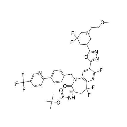 COCCN1CC(c2nnc(-c3cc4c(cc3F)C(F)(F)C[C@H](NC(=O)OC(C)(C)C)C(=O)N4Cc3ccc(-c4ccc(C(F)(F)F)cn4)cc3)o2)CC(F)(F)C1